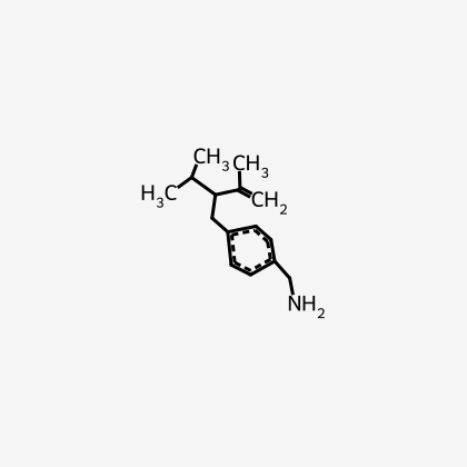 C=C(C)C(Cc1ccc(CN)cc1)C(C)C